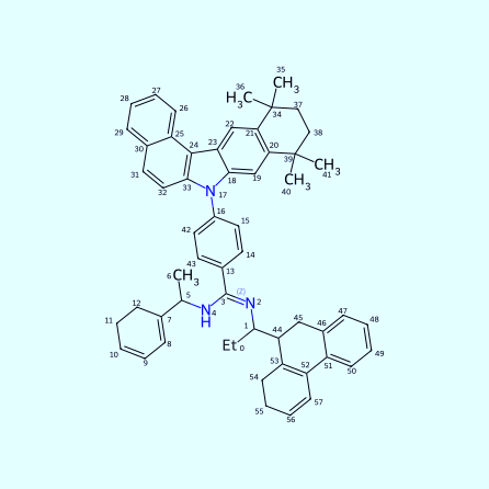 CCC(/N=C(\NC(C)C1=CC=CCC1)c1ccc(-n2c3cc4c(cc3c3c5ccccc5ccc32)C(C)(C)CCC4(C)C)cc1)C1Cc2ccccc2C2=C1CCC=C2